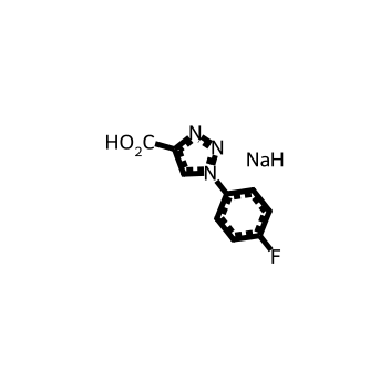 O=C(O)c1cn(-c2ccc(F)cc2)nn1.[NaH]